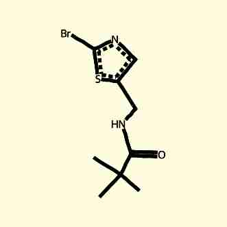 CC(C)(C)C(=O)NCc1cnc(Br)s1